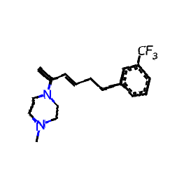 C=C(/C=C/CCc1cccc(C(F)(F)F)c1)N1CCN(C)CC1